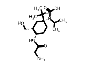 CC(C)N(C(=O)O)[C@]1(C(C)(C)C)CC[C@H](NC(=O)CN)[C@H](CO)C1